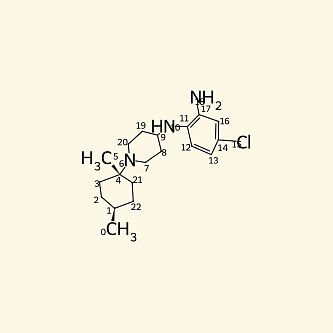 C[C@H]1CC[C@](C)(N2CCC(Nc3ccc(Cl)cc3N)CC2)CC1